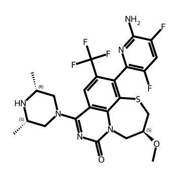 CO[C@@H]1CSc2c(-c3nc(N)c(F)cc3F)c(C(F)(F)F)cc3c(N4C[C@@H](C)N[C@@H](C)C4)nc(=O)n(c23)C1